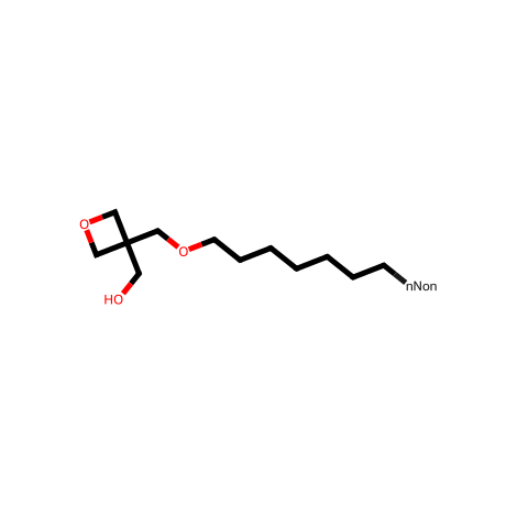 CCCCCCCCCCCCCCCCOCC1(CO)COC1